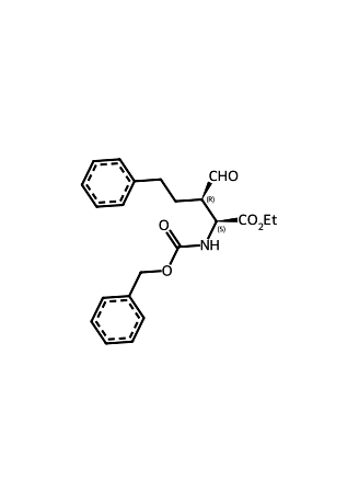 CCOC(=O)[C@@H](NC(=O)OCc1ccccc1)[C@H](C=O)CCc1ccccc1